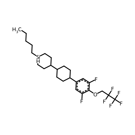 CCCCC[SiH]1CCC(C2CCC(c3cc(F)c(OCC(F)(F)C(F)(F)F)c(F)c3)CC2)CC1